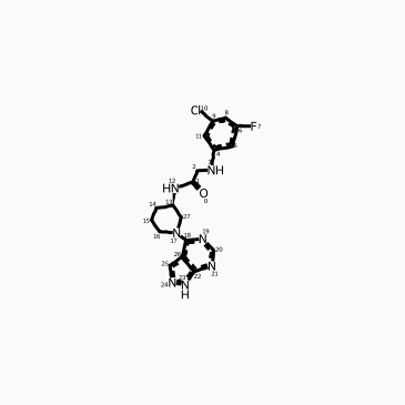 O=C(CNc1cc(F)cc(Cl)c1)N[C@@H]1CCCN(c2ncnc3[nH]ncc23)C1